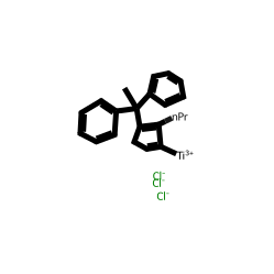 CCCC1=C(C(C)(c2ccccc2)c2ccccc2)CC=[C]1[Ti+3].[Cl-].[Cl-].[Cl-]